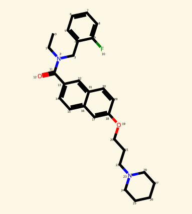 CCN(Cc1ccccc1F)C(=O)c1ccc2cc(OCCCN3CCCCC3)ccc2c1